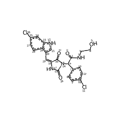 O=C(NCCO)C(c1ccc(Cl)cc1)N1C(=O)NC(=Cc2c[nH]c3cc(Cl)ccc23)C1=O